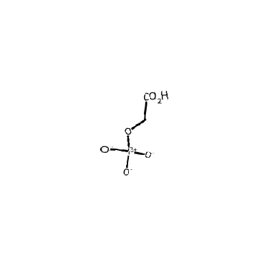 O=C(O)CO[I+3]([O-])([O-])[O-]